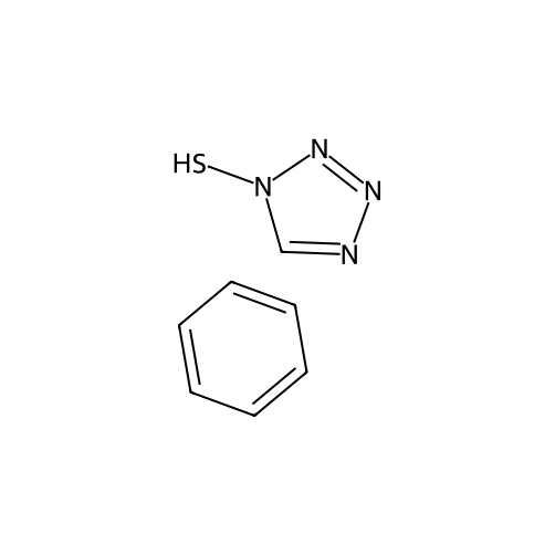 Sn1cnnn1.c1ccccc1